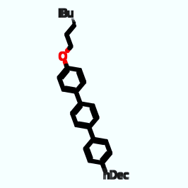 CCCCCCCCCCc1ccc(-c2ccc(-c3ccc(OCCC[C@@H](C)CC)cc3)cc2)cc1